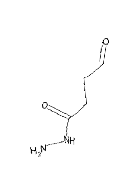 NNC(=O)CCC=O